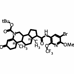 COc1nc(OC(F)(F)F)c(NC(=O)C2CCC3C4CN(C(=O)OC(C)(C)C)C5=CC(=O)CC[C@]5(C)C4CC[C@]23C)cc1Br